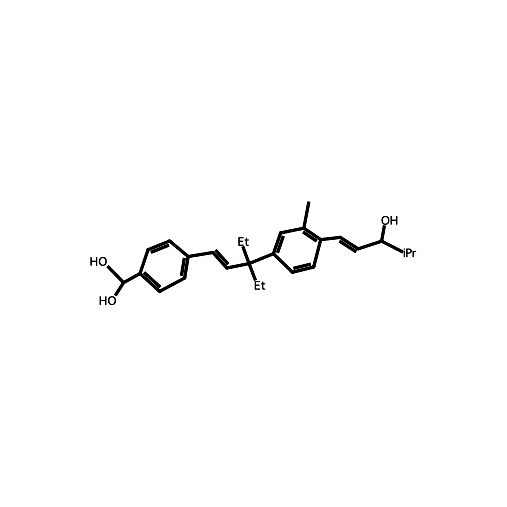 CCC(C=Cc1ccc(C(O)O)cc1)(CC)c1ccc(C=CC(O)C(C)C)c(C)c1